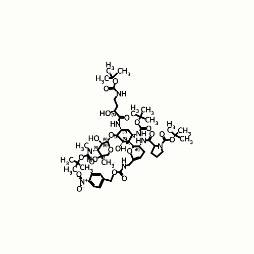 CN(C(=O)OC(C)(C)C)[C@@H]1[C@@H](O)[C@@H](O[C@@H]2[C@@H](O)[C@H](C3OC(CNC(=O)OCc4ccc([N+](=O)[O-])cc4)=CC[C@H]3NC(=O)C3CCCN3C(=O)OC(C)(C)C)[C@@H](NC(=O)OC(C)(C)C)C[C@H]2NC(=O)[C@@H](O)CCNC(=O)OC(C)(C)C)OC[C@]1(C)O